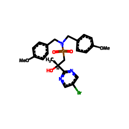 COc1ccc(CN(Cc2ccc(OC)cc2)S(=O)(=O)C[C@@](C)(O)c2ncc(Br)cn2)cc1